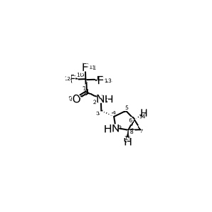 O=C(NC[C@@H]1C[C@H]2C[C@@H]2N1)C(F)(F)F